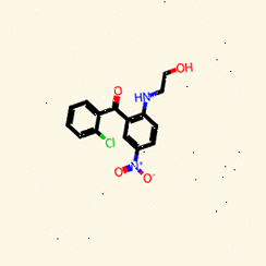 O=C(c1ccccc1Cl)c1cc([N+](=O)[O-])ccc1NCCO